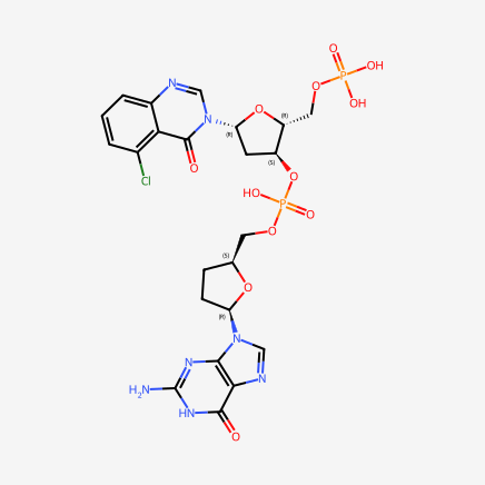 Nc1nc2c(ncn2[C@H]2CC[C@@H](COP(=O)(O)O[C@H]3C[C@H](n4cnc5cccc(Cl)c5c4=O)O[C@@H]3COP(=O)(O)O)O2)c(=O)[nH]1